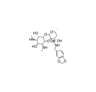 CN[C@@H]1[C@H](O)[C@H](NC)C2O[C@]3(O)C(OC2[C@H]1O)O[C@H](C)C[C@@]3(O)CNCc1ccc2c(c1)OCO2